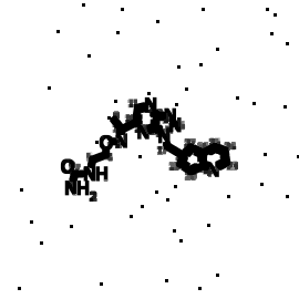 CC(=NOCCNC(N)=O)c1cnc2nnn(Cc3ccc4ncccc4c3)c2n1